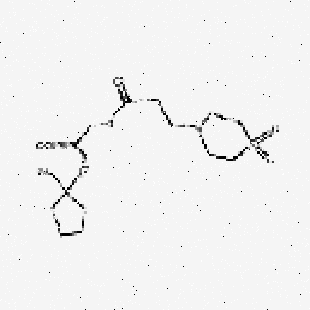 CCC1(OC(=O)COC(=O)CCN2CCS(=O)(=O)CC2)CCCC1